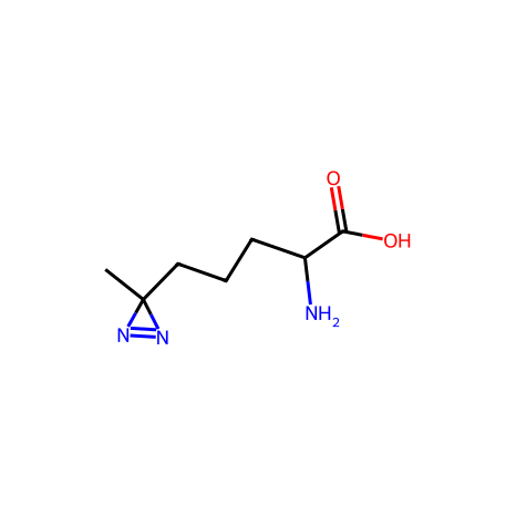 CC1(CCCC(N)C(=O)O)N=N1